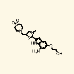 CN1CC(CN2CCS(=O)(=O)CC2)SC1c1cc2cc(OCCO)cc(N)c2[nH]1